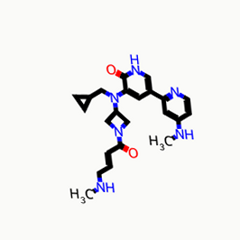 CNCC=CC(=O)N1CC(N(CC2CC2)c2cc(-c3cc(NC)ccn3)c[nH]c2=O)C1